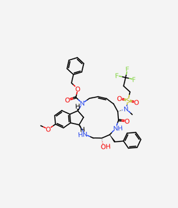 COc1ccc2c(c1)[C@@H]1C[C@H]2N(C(=O)OCc2ccccc2)C/C=C\C[C@H](N(C)S(=O)(=O)CCC(F)(F)F)C(=O)N[C@@H](Cc2ccccc2)[C@H](O)CN1